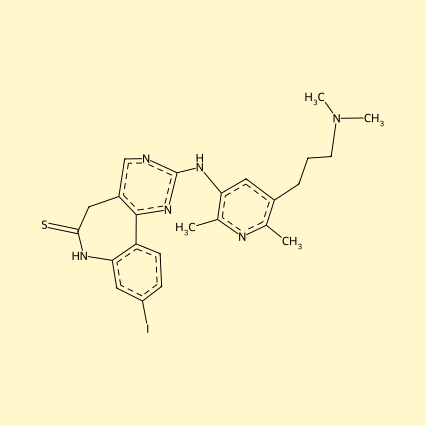 Cc1nc(C)c(Nc2ncc3c(n2)-c2ccc(I)cc2NC(=S)C3)cc1CCCN(C)C